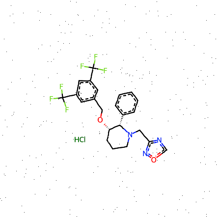 Cl.FC(F)(F)c1cc(CO[C@H]2CCCN(Cc3ncon3)[C@H]2c2ccccc2)cc(C(F)(F)F)c1